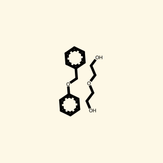 OCCOCCO.c1ccc(COc2ccccc2)cc1